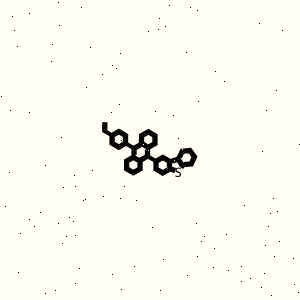 C=Cc1ccc(-c2c3ccccc3c(-c3ccc4sc5ccccc5c4c3)c3ccccc23)cc1